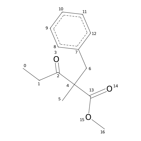 CCC(=O)C(C)(Cc1ccccc1)C(=O)OC